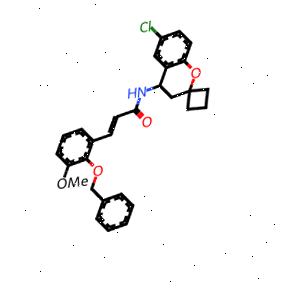 COc1cccc(C=CC(=O)NC2CC3(CCC3)Oc3ccc(Cl)cc32)c1OCc1ccccc1